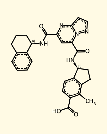 Cc1c(C(=O)O)ccc2c1CC[C@@H]2NC(=O)c1cc(C(=O)N[C@@H]2CCCc3ccccc32)nc2ccnn12